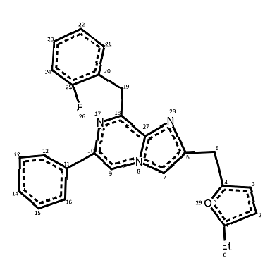 CCc1ccc(Cc2cn3cc(-c4ccccc4)nc(Cc4ccccc4F)c3n2)o1